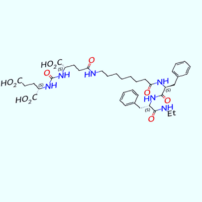 CCNC(=O)[C@H](Cc1ccccc1)NC(=O)[C@H](Cc1ccccc1)NC(=O)CCCCCCCNC(=O)CC[C@H](NC(=O)N[C@@H](CCC(=O)O)C(=O)O)C(=O)O